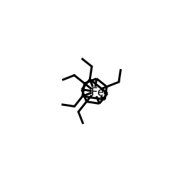 CC[C]12[CH]3[CH]4[C]5(CC)[CH]1[Fe]34251678[CH]2[C]1(CC)[CH]6[C]7(CC)[C]28CC